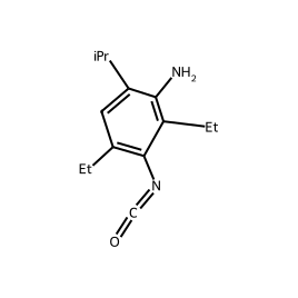 CCc1cc(C(C)C)c(N)c(CC)c1N=C=O